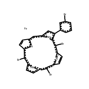 Brc1cccc(-c2cc3cc4nc(c(Br)c5ccc([nH]5)c(Br)c5nc(c(Br)c2[nH]3)C=C5)C=C4)c1.[Fe]